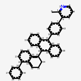 Cc1ncccc1-c1ccc(-c2c3ccccc3c(C3=c4cccc(-c5ccccc5)c4=CCC3)c3ccccc23)cc1